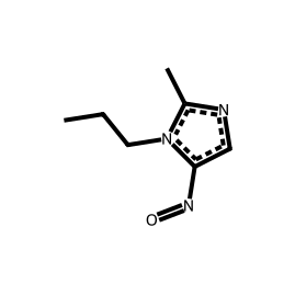 CCCn1c(N=O)cnc1C